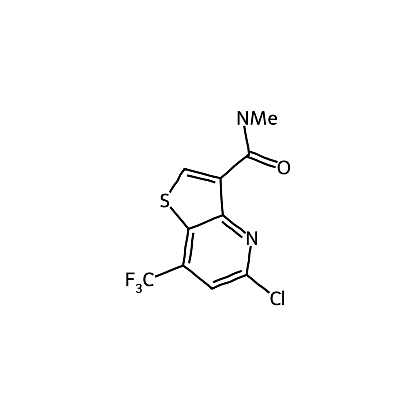 CNC(=O)c1csc2c(C(F)(F)F)cc(Cl)nc12